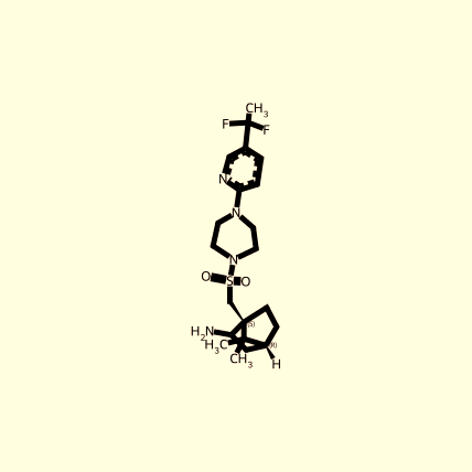 CC(F)(F)c1ccc(N2CCN(S(=O)(=O)C[C@]34CC[C@H](CC3N)C4(C)C)CC2)nc1